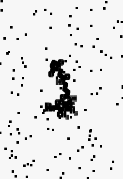 CCNC(=O)C(C)NC(=O)C(C)NC(=O)CCCNC(=O)CCN1C(=O)C=CC1=O